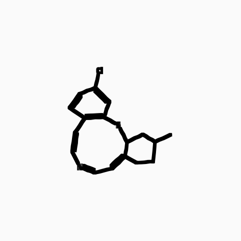 CC1CCC2=CC=NC=Cc3ccc(Cl)cc3SC2C1